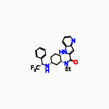 CCN(C(=O)c1cc2ncccc2[nH]1)[C@H]1CCC[C@@H](N[C@@H](c2ccccc2)C(F)(F)F)C1